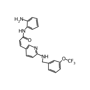 Nc1ccccc1NC(=O)/C=C\c1ccc(NCc2cccc(OC(F)(F)F)c2)nc1